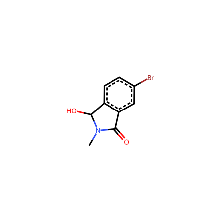 CN1C(=O)c2cc(Br)ccc2C1O